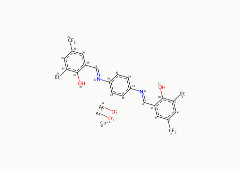 CC(=O)[O-].CC(=O)[O-].CCc1cc(C(F)(F)F)cc(C=Nc2ccc(N=Cc3cc(C(F)(F)F)cc(CC)c3O)cc2)c1O.[Co+2]